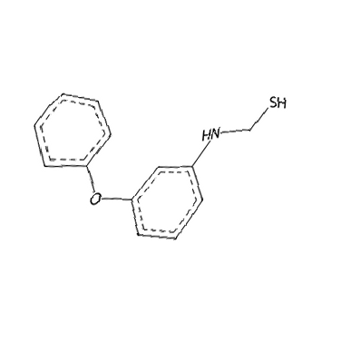 SCNc1cccc(Oc2ccccc2)c1